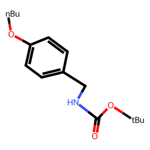 CCCCOc1ccc(CNC(=O)OC(C)(C)C)cc1